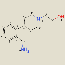 NCc1c[c]ccc1C1CCN(CCO)CC1